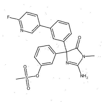 CN1C(=O)C(c2cccc(OS(C)(=O)=O)c2)(c2cccc(-c3ccc(F)nc3)c2)N=C1N